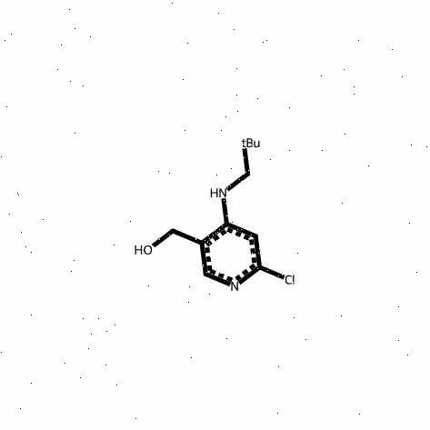 CC(C)(C)CNc1cc(Cl)ncc1CO